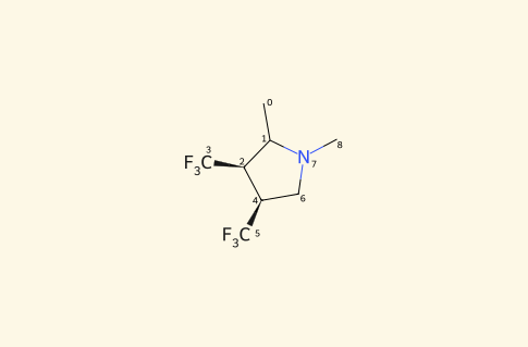 CC1[C@H](C(F)(F)F)[C@H](C(F)(F)F)CN1C